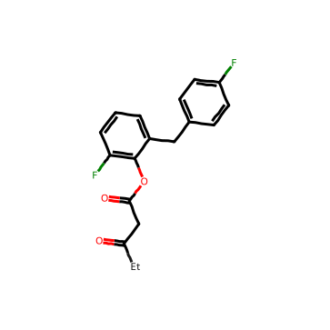 CCC(=O)CC(=O)Oc1c(F)cccc1Cc1ccc(F)cc1